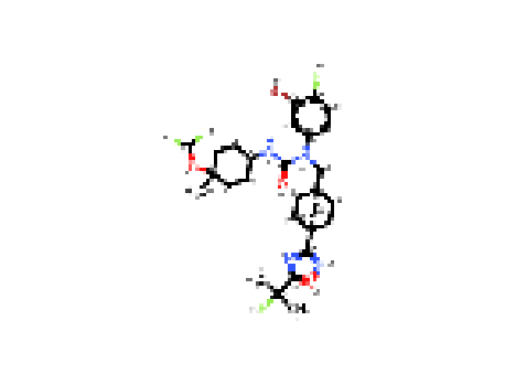 CC1(OC(F)F)CCC(NC(=O)N(CC23CCC(c4noc(C(C)(C)F)n4)(CC2)CC3)c2ccc(F)c(Br)c2)CC1